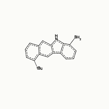 Bc1cccc2c1[nH]c1cc3cccc(C(C)(C)C)c3cc12